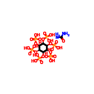 NC(N)=O.O=P(O)(O)O[C@H]1[C@H](OP(=O)(O)O)[C@@H](OP(=O)(O)O)[C@H](OP(=O)(O)O)[C@@H](OP(=O)(O)O)[C@H]1OP(=O)(O)O